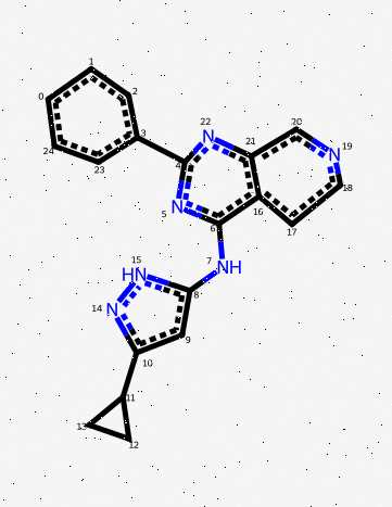 c1ccc(-c2nc(Nc3cc(C4CC4)n[nH]3)c3ccncc3n2)cc1